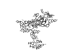 O=C([O-])CC(O)(CC(=O)[O-])C(=O)[O-].O=C([O-])CC(O)(CC(=O)[O-])C(=O)[O-].O=C([O-])CC(O)(CC(=O)[O-])C(=O)[O-].O=C([O-])[C@H](O)[C@@H](O)[C@H](O)[C@H](O)CO.O=C([O-])[C@H](O)[C@@H](O)[C@H](O)[C@H](O)CO.O=C([O-])[C@H](O)[C@@H](O)[C@H](O)[C@H](O)CO.[Fe+3].[Fe+3].[Fe+3].[Fe+3]